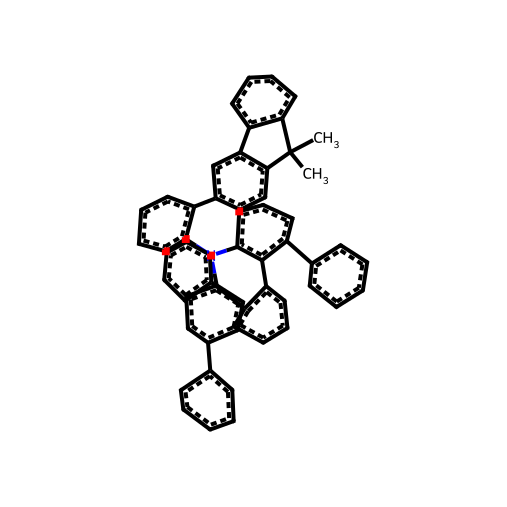 CC1(C)c2ccccc2-c2cc(-c3ccccc3N(c3ccc(-c4ccccc4)cc3)c3cccc(-c4ccccc4)c3-c3ccccc3-c3ccccc3)ccc21